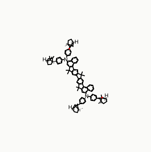 CC1C[C@H]2CC[C@]1(c1ccc(N(c3ccc(C4C[C@@H]5CC[C@@]4(C)C5(C)C)cc3)c3cc4c(c5ccccc35)-c3cc5c(cc3C4(C)C)-c3cc4c(cc3C5(C)C)-c3c(cc(N(c5ccc(C6C[C@@H]7CC[C@@]6(C)C7(C)C)cc5)c5ccc(C6C[C@@H]7CC[C@@]6(C)C7(C)C)cc5)c5ccccc35)C4(C)C)cc1)C2(C)C